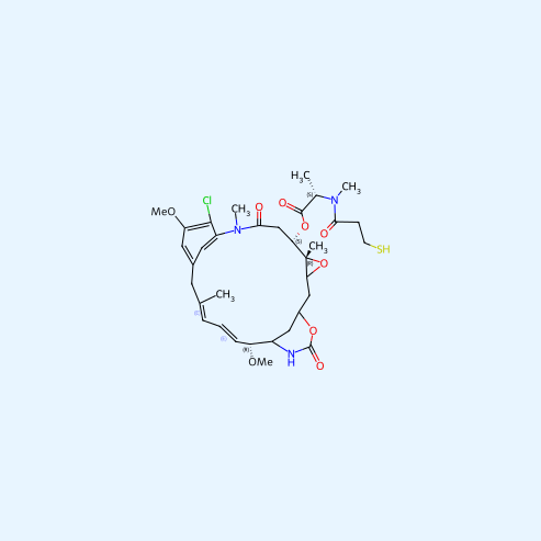 COc1cc2cc(c1Cl)N(C)C(=O)C[C@H](OC(=O)[C@H](C)N(C)C(=O)CCS)[C@]1(C)OC1CC1CC(NC(=O)O1)[C@H](OC)/C=C/C=C(\C)C2